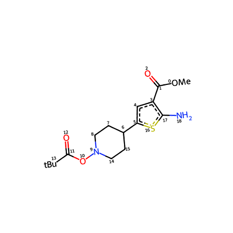 COC(=O)c1cc(C2CCN(OC(=O)C(C)(C)C)CC2)sc1N